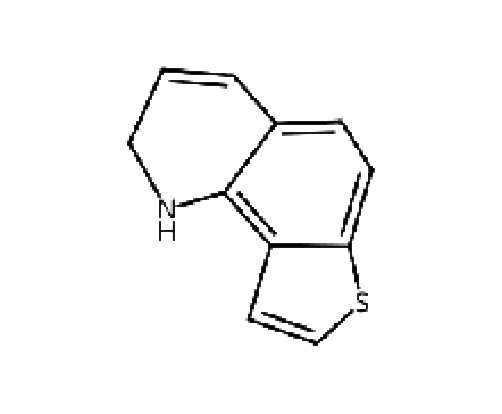 C1=Cc2ccc3sccc3c2NC1